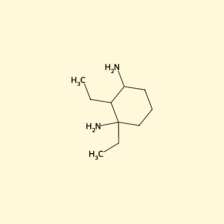 CCC1C(N)CCCC1(N)CC